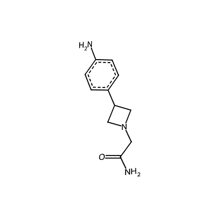 NC(=O)CN1CC(c2ccc(N)cc2)C1